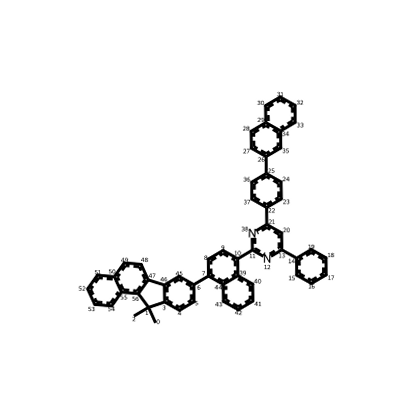 CC1(C)c2ccc(-c3ccc(-c4nc(-c5ccccc5)cc(-c5ccc(-c6ccc7ccccc7c6)cc5)n4)c4ccccc34)cc2-c2ccc3ccccc3c21